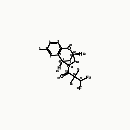 Cc1ccc2c(c1)[C@@H]1C[C@@H](CN1C(=O)C(C)(C)C(F)F)O2